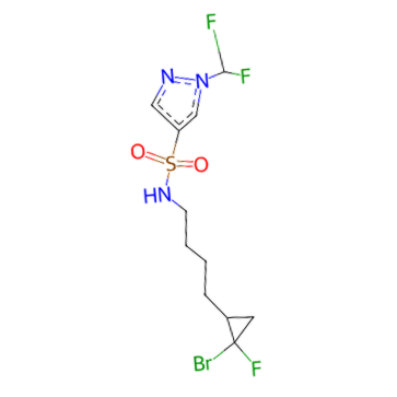 O=S(=O)(NCCCCC1CC1(F)Br)c1cnn(C(F)F)c1